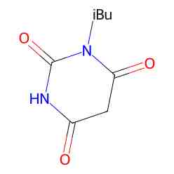 CCC(C)N1C(=O)CC(=O)NC1=O